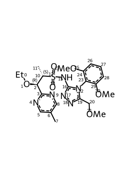 CCO[C@H](c1ncc(C)cn1)[C@H](C)S(=O)(=O)Nc1nnc(COC)n1-c1c(OC)cccc1OC